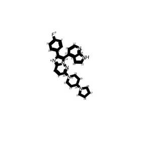 Fc1ccc(-c2nc3ccc(N4CCC(N5CCCC5)CC4)nn3c2-c2ccnc3[nH]ccc23)cc1